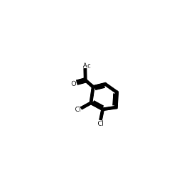 CC(=O)C(=O)c1cccc(Cl)c1Cl